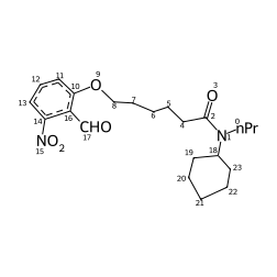 CCCN(C(=O)CCCCCOc1cccc([N+](=O)[O-])c1C=O)C1CCCCC1